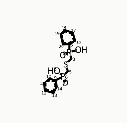 O=P(O)(CSCP(=O)(O)c1ccccc1)c1ccccc1